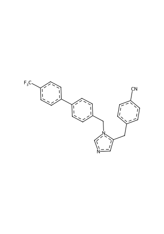 N#Cc1ccc(Cc2cncn2Cc2ccc(-c3ccc(C(F)(F)F)cc3)cc2)cc1